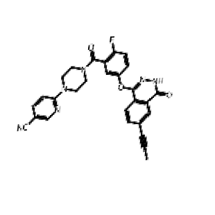 CC#Cc1ccc2c(Oc3ccc(F)c(C(=O)N4CCN(c5ccc(C#N)cn5)CC4)c3)n[nH]c(=O)c2c1